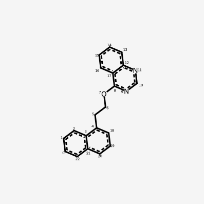 c1ccc2c(CCOc3ncnc4ccccc34)cccc2c1